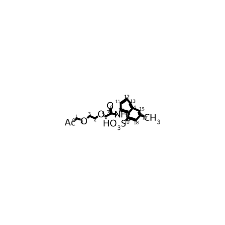 CC(=O)COCCOCC(=O)Nc1cccc2cc(C)cc(S(=O)(=O)O)c12